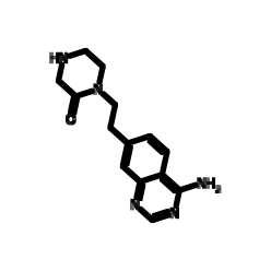 Nc1ncnc2cc(CCN3CCNCC3=O)ccc12